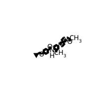 CC(=O)CN1CCC2(CCN(c3ccc(NC(=O)c4ccc(OCC5CC5)cc4)c(C)c3)C2)C1